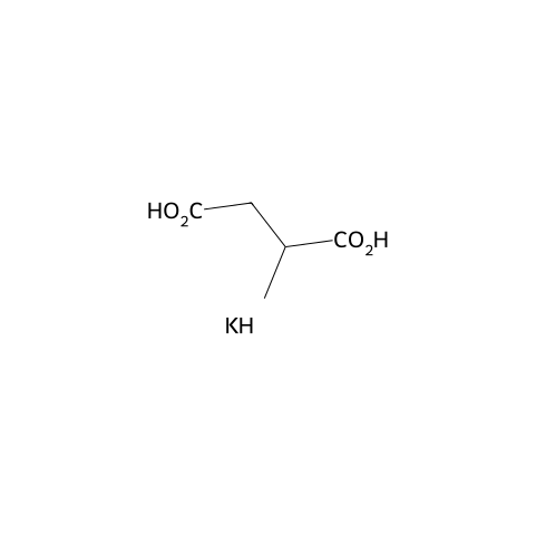 CC(CC(=O)O)C(=O)O.[KH]